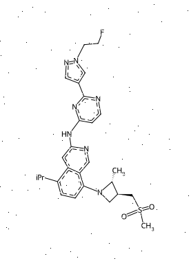 CC(C)c1ccc(N2C[C@H](CS(C)(=O)=O)[C@H]2C)c2cnc(Nc3ccnc(-c4cnn(CCF)c4)n3)cc12